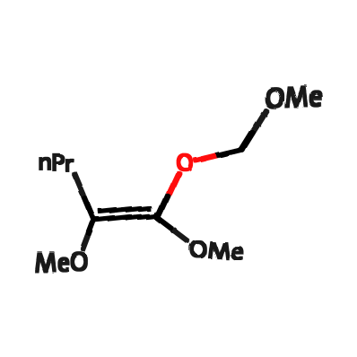 CCCC(OC)=C(OC)OCOC